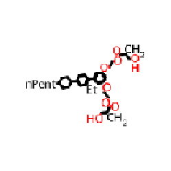 C=C(CO)C(=O)OCCOc1cc(OCCOC(=O)C(=C)CO)cc(-c2ccc(C3CCC(CCCCC)CC3)cc2CC)c1